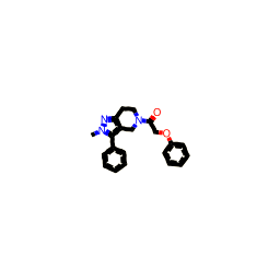 Cn1nc2c(c1-c1ccccc1)CN(C(=O)COc1ccccc1)CC2